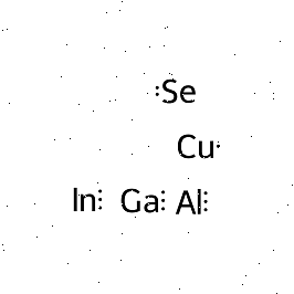 [Al].[Cu].[Ga].[In].[Se]